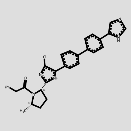 CC(C)CC(=O)N1[C@@H](C)CC[C@H]1c1nc(Cl)c(-c2ccc(-c3ccc(-c4cnc[nH]4)cc3)cc2)[nH]1